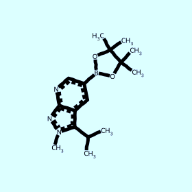 CC(C)c1c2cc(B3OC(C)(C)C(C)(C)O3)cnc2nn1C